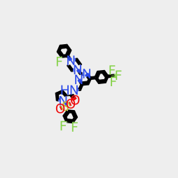 O=C(NCc1cc(-c2ccc(C(F)(F)F)cc2)nc(N2CCN(c3ccccc3F)CC2)n1)[C@@H]1CCCN1S(=O)(=O)c1ccc(F)c(F)c1